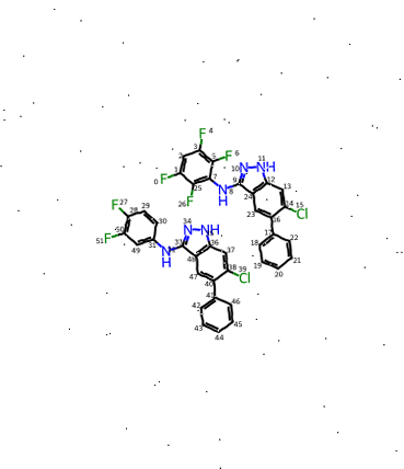 Fc1cc(F)c(F)c(Nc2n[nH]c3cc(Cl)c(-c4ccccc4)cc23)c1F.Fc1ccc(Nc2n[nH]c3cc(Cl)c(-c4ccccc4)cc23)cc1F